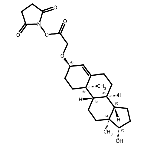 C[C@]12CC[C@H]3[C@@H](CCC4=C[C@H](OCC(=O)ON5C(=O)CCC5=O)CC[C@@]43C)[C@@H]1CC[C@@H]2O